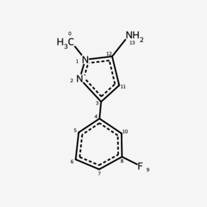 Cn1nc(-c2cccc(F)c2)cc1N